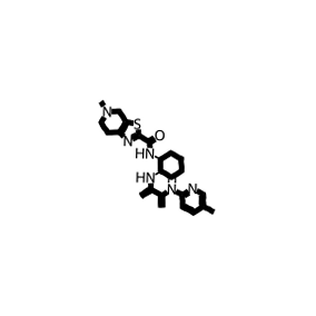 C=C(Nc1ccc(C)cn1)C(=C)N[C@H]1CCCC[C@H]1NC(=O)c1nc2c(s1)CN(C)CC2